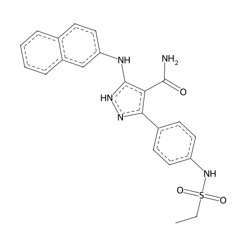 CCS(=O)(=O)Nc1ccc(-c2n[nH]c(Nc3ccc4ccccc4c3)c2C(N)=O)cc1